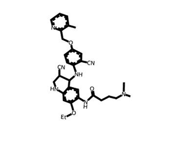 CCOc1cc2c(cc1NC(=O)CCCN(C)C)C(Nc1ccc(OCc3ncccc3C)cc1C#N)C(C#N)CN2